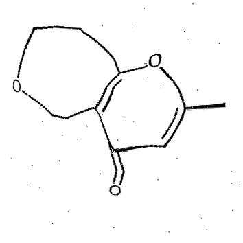 Cc1cc(=O)c2c(o1)CCOC2